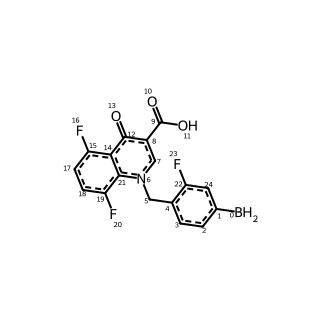 Bc1ccc(Cn2cc(C(=O)O)c(=O)c3c(F)ccc(F)c32)c(F)c1